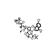 C=C[C@@H]1C[C@]1(NC(=O)[C@@H]1C[C@@H](Oc2ncc(OC)c3ccc(Cl)cc23)CN1C(=O)[C@@H](NC(=O)OC(C)(C)C)C(C)(C)C)C(=O)N[SH](C)(=O)C1CC1